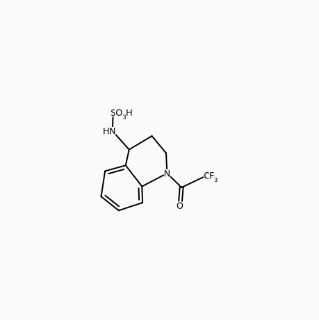 O=C(N1CCC(NS(=O)(=O)O)c2ccccc21)C(F)(F)F